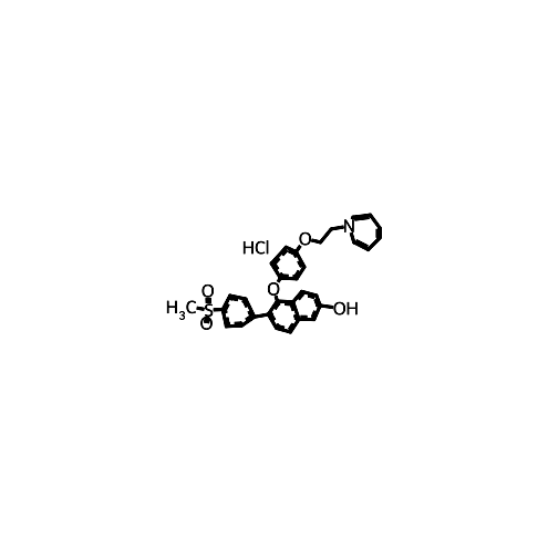 CS(=O)(=O)c1ccc(-c2ccc3cc(O)ccc3c2Oc2ccc(OCCN3C=CC=CC=C3)cc2)cc1.Cl